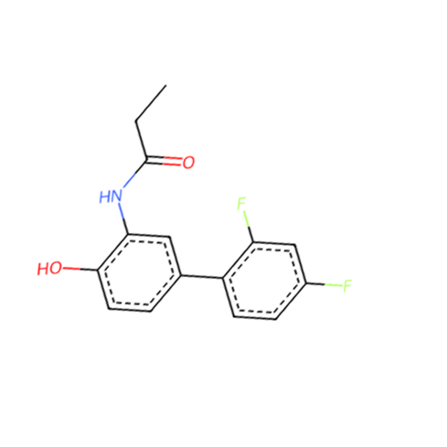 CCC(=O)Nc1cc(-c2ccc(F)cc2F)ccc1O